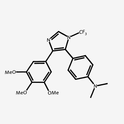 COc1cc(-c2ncn(C(F)(F)F)c2-c2ccc(N(C)C)cc2)cc(OC)c1OC